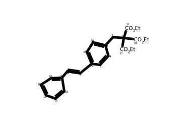 CCOC(=O)C(Cc1ccc(C=Cc2ccccc2)cc1)(C(=O)OCC)C(=O)OCC